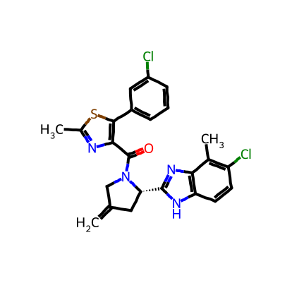 C=C1C[C@@H](c2nc3c(C)c(Cl)ccc3[nH]2)N(C(=O)c2nc(C)sc2-c2cccc(Cl)c2)C1